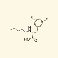 CCCCCNC(Cc1cc(F)cc(F)c1)C(=O)O